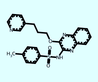 Cc1ccc(S(=O)(=O)Nc2nc3ccccc3nc2OCCCc2cccnc2)cc1